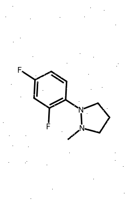 CN1CCCN1c1ccc(F)cc1F